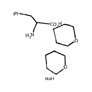 C1CCOCC1.C1CCOCC1.CC(C)CC(N)C(=O)O.[NaH]